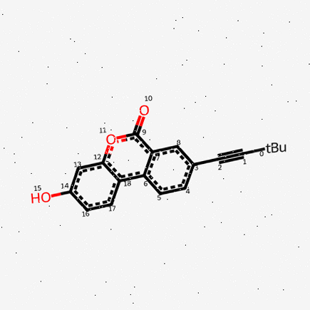 CC(C)(C)C#Cc1ccc2c(c1)c(=O)oc1cc(O)ccc12